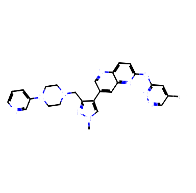 CC(C)c1cnnc(Nc2ccc3ncc(-c4cn(C)nc4CN4CCN(c5cccnc5)CC4)cc3n2)c1